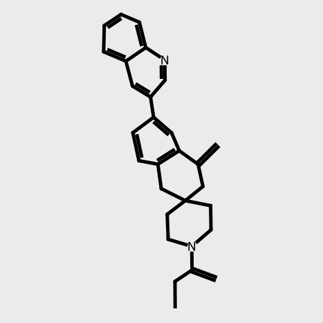 C=C1CC2(CCN(C(=C)CC)CC2)Cc2ccc(-c3cnc4ccccc4c3)cc21